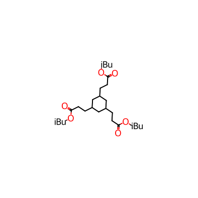 CCC(C)OC(=O)CCC1CC(CCC(=O)OC(C)CC)CC(CCC(=O)OC(C)CC)C1